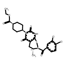 CCOC(=O)[C@H]1CC[C@@H](n2c(=S)[nH]c3c(c2=O)C[C@@H](C)N(C(=O)c2ccc(Cl)c(Cl)c2)C3)CC1